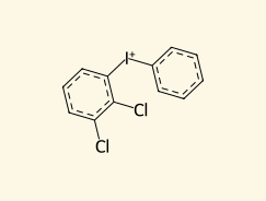 Clc1cccc([I+]c2ccccc2)c1Cl